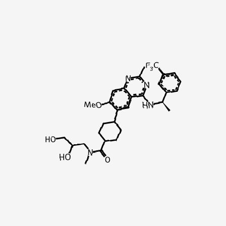 COc1cc2nc(C)nc(N[C@H](C)c3cccc(C(F)(F)F)c3)c2cc1C1CCC(C(=O)N(C)CC(O)CO)CC1